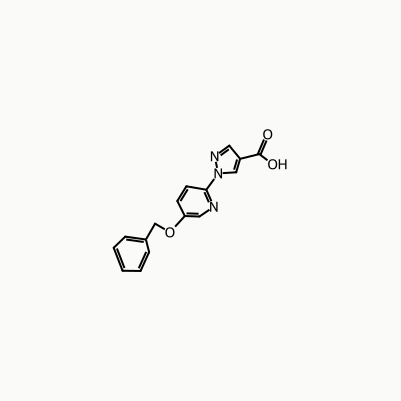 O=C(O)c1cnn(-c2ccc(OCc3ccccc3)cn2)c1